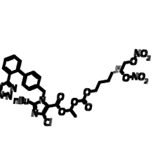 CCCCc1nc(Cl)c(C(=O)OC(C)OC(=O)OCCCC[C@H](CO[N+](=O)[O-])O[N+](=O)[O-])n1Cc1ccc(-c2ccccc2-c2nnn[nH]2)cc1